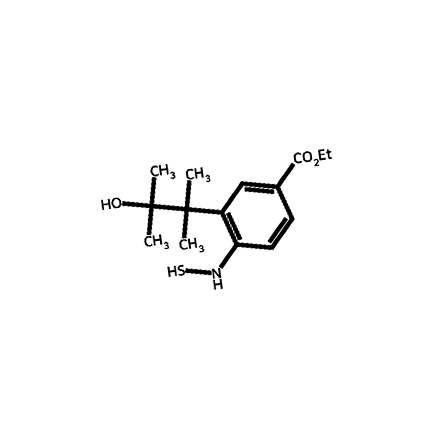 CCOC(=O)c1ccc(NS)c(C(C)(C)C(C)(C)O)c1